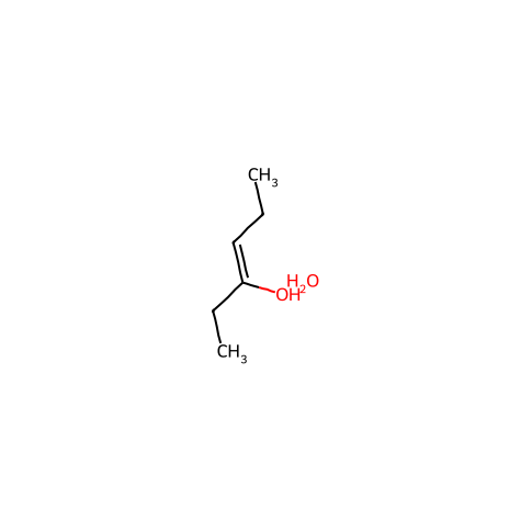 CCC=C(O)CC.O